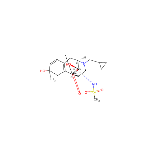 CC1(O)C=CC2=C(C1)[C@]13CCN(CC4CC4)[C@H](C2)[C@]1(O)C[C@H](NS(C)(=O)=O)C(=O)C3